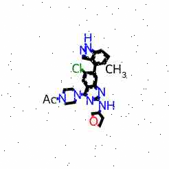 CC(=O)N1CCN(c2nc(NC3CCOC3)nc3cc(-c4c(C)ccc5[nH]ncc45)c(Cl)cc23)CC1